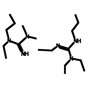 CCCN(CC)C(=N)N(C)C.CCCNC(=NCC)N(CC)CC